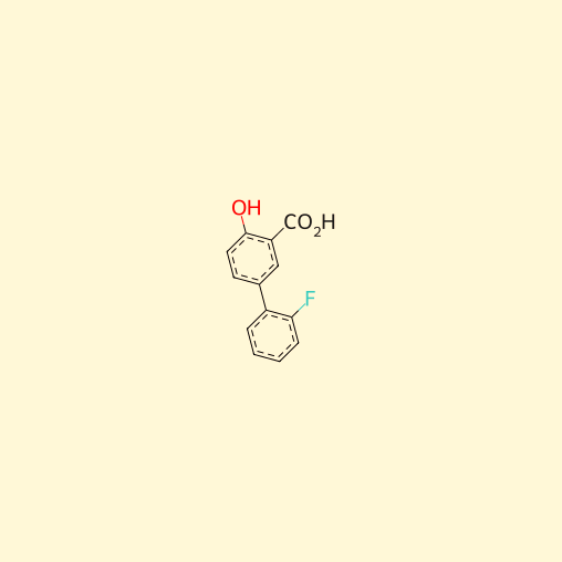 O=C(O)c1cc(-c2ccccc2F)ccc1O